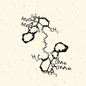 CO[Si](OC)(OC)C1(c2nc3ccccc3s2)C(SSSSSSC2=C(C)C=CC(C)C2(c2nc3ccccc3s2)[Si](OC)(OC)OC)=C(C)C=CC1C